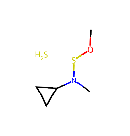 COSN(C)C1CC1.S